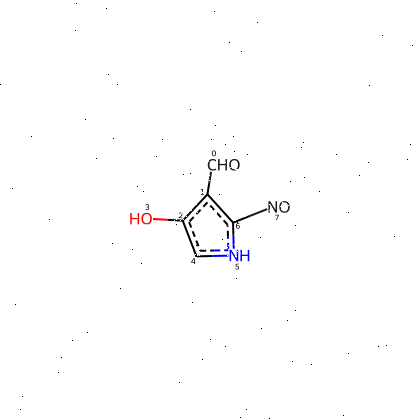 O=Cc1c(O)c[nH]c1N=O